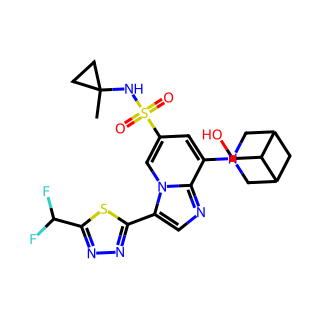 CC1(NS(=O)(=O)c2cc(N3CC4CC(C3)C4CO)c3ncc(-c4nnc(C(F)F)s4)n3c2)CC1